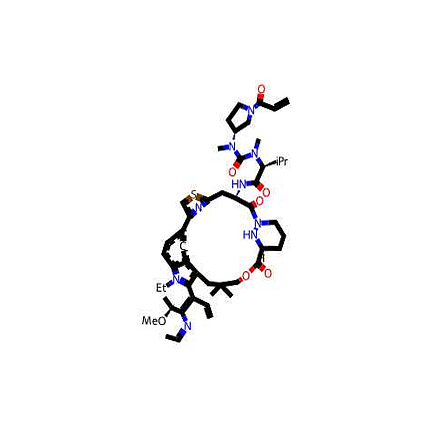 C=CC(=O)N1CC[C@@H](N(C)C(=O)N(C)[C@H](C(=O)N[C@H]2Cc3nc(cs3)-c3ccc4c(c3)c(c(/C(C=C)=C(/N=C\C)[C@H](C)OC)n4CC)CC(C)(C)COC(=O)[C@@H]3CCCN(N3)C2=O)C(C)C)C1